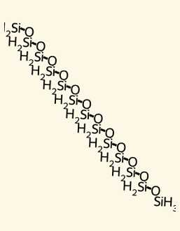 [SiH2]O[SiH2]O[SiH2]O[SiH2]O[SiH2]O[SiH2]O[SiH2]O[SiH2]O[SiH2]O[SiH2]O[SiH2]O[SiH2]O[SiH3]